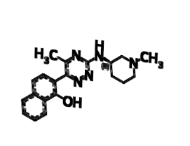 Cc1nc(N[C@@H]2CCCN(C)C2)nnc1-c1ccc2ccccc2c1O